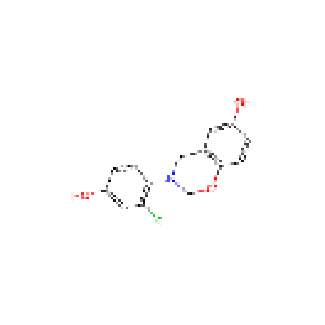 Oc1ccc(N2COc3ccc(O)cc3C2)c(Cl)c1